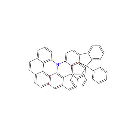 c1ccc(C2(c3ccccc3)c3ccccc3-c3ccc(N(c4cccc5ccc6ccccc6c45)c4cccc5ccc6ccccc6c45)cc32)cc1